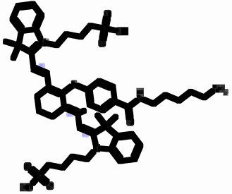 CC(/C=C1/N(CCCCS(=O)(=O)O)c2ccccc2C1(C)C)=C1/CCCC(/C=C/C2=[N+](CCCCS(=O)(=O)O)c3ccccc3C2(C)C)=C1Sc1ccc(C(=O)NCCCCCN)cc1